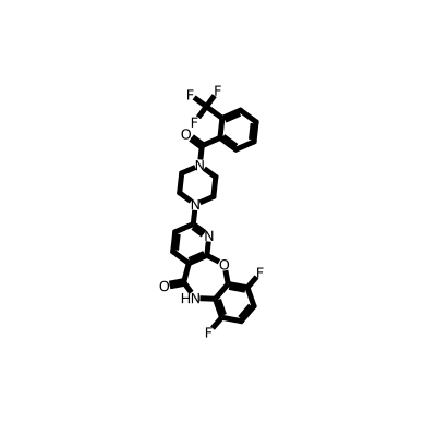 O=C1Nc2c(F)ccc(F)c2Oc2nc(N3CCN(C(=O)c4ccccc4C(F)(F)F)CC3)ccc21